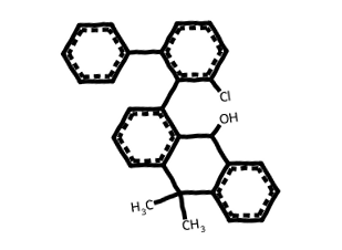 CC1(C)c2ccccc2C(O)c2c(-c3c(Cl)cccc3-c3ccccc3)cccc21